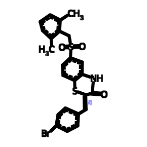 Cc1cccc(C)c1CS(=O)(=O)c1ccc2c(c1)NC(=O)/C(=C/c1ccc(Br)cc1)S2